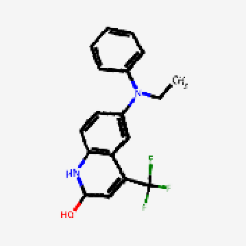 CCN(c1ccccc1)c1ccc2c(c1)C(C(F)(F)F)=CC(O)N2